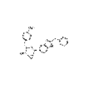 COc1ccc(CN2N=C(c3ccc4nc(Cc5ccccc5)oc4c3)C3CC3C2=O)cc1